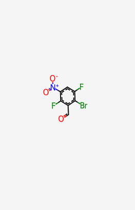 O=Cc1c(F)c([N+](=O)[O-])cc(F)c1Br